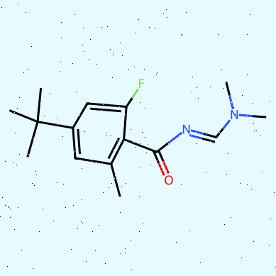 Cc1cc(C(C)(C)C)cc(F)c1C(=O)N=CN(C)C